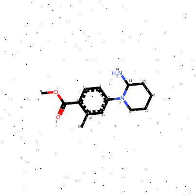 COC(=O)c1ccc(N2CCCCC2N)cc1C